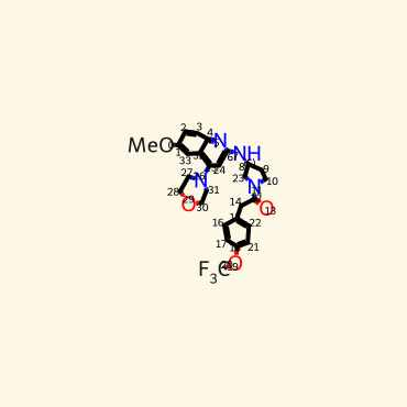 COc1ccc2nc(N[C@H]3CCN(C(=O)Cc4ccc(OC(F)(F)F)cc4)C3)cc(N3CCOCC3)c2c1